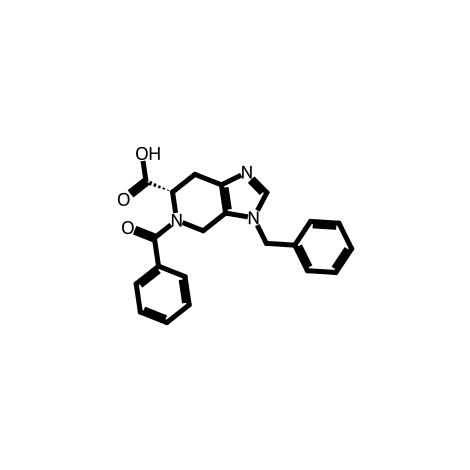 O=C(O)[C@@H]1Cc2ncn(Cc3ccccc3)c2CN1C(=O)c1ccccc1